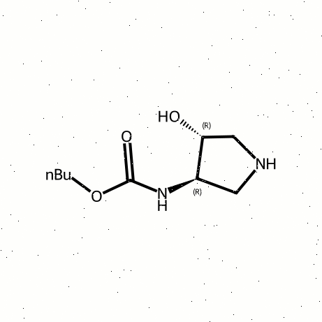 CCCCOC(=O)N[C@@H]1CNC[C@H]1O